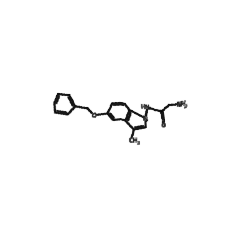 Cc1cn(NC(=O)CN)c2ccc(OCc3ccccc3)cc12